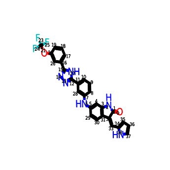 O=C1Nc2cc(Nc3cccc(-c4nnc(-c5cccc(OC(F)(F)F)c5)[nH]4)c3)ccc2/C1=C/c1ccc[nH]1